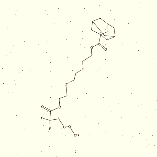 O=C(OCCOCCOCCOC(=O)C(F)(F)SOOO)C12CC3CC(CC(C3)C1)C2